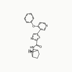 O=C(N[C@@H]1C2CCC1NC2)c1ncc(-c2cnccc2Oc2ccccc2)s1